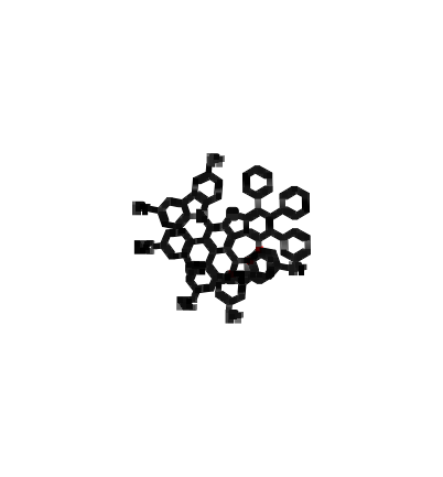 CC(C)c1ccc2c(c1)-c1cc(C(C)C)ccc1C2c1c(-c2ccc(C#N)cc2C#N)c(-c2ccc(C#N)cc2C#N)c(-n2c3ccc(C(C)C)cc3c3cc(C(C)C)ccc32)c2oc3c(-c4ccccc4)c(-c4ccccc4)c(-c4ccccc4)c(-c4ccccc4)c3c12